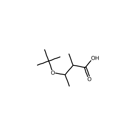 CC(OC(C)(C)C)C(C)C(=O)O